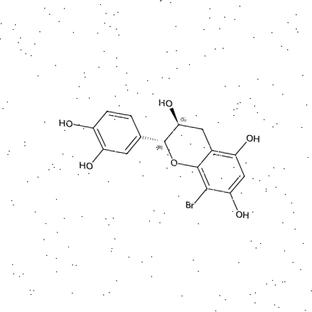 Oc1ccc([C@H]2Oc3c(Br)c(O)cc(O)c3C[C@@H]2O)cc1O